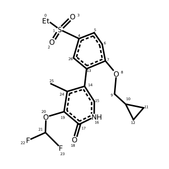 CCS(=O)(=O)c1ccc(OCC2CC2)c(-c2c[nH]c(=O)c(OC(F)F)c2C)c1